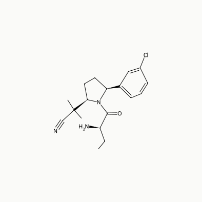 CC[C@@H](N)C(=O)N1[C@H](c2cccc(Cl)c2)CC[C@@H]1C(C)(C)C#N